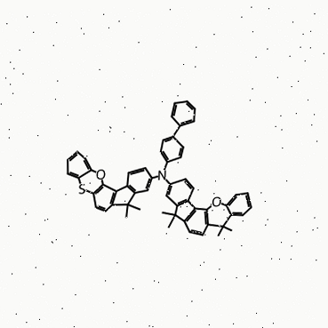 CC1(C)c2ccccc2Oc2c1ccc1c2-c2ccc(N(c3ccc(-c4ccccc4)cc3)c3ccc4c(c3)C(C)(C)c3ccc5c(c3-4)Oc3ccccc3S5)cc2C1(C)C